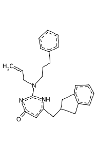 C=CCN(CCCc1ccccc1)c1nc(=O)cc(CC2Cc3ccccc3C2)[nH]1